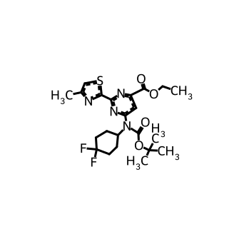 CCOC(=O)c1cc(N(C(=O)OC(C)(C)C)C2CCC(F)(F)CC2)nc(-c2nc(C)cs2)n1